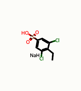 CCc1c(Cl)cc(S(=O)(=O)O)cc1Cl.[NaH]